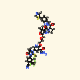 Cc1ncsc1-c1ccc(CNC(=O)C2CCCN2C(=O)[C@@H](NC(=O)COCCOc2ncc(N3C(=S)N(c4ccc(C#N)c(C(F)(F)F)c4F)C(=O)C3(C)C)cc2C(N)=O)C(C)(C)C)cc1